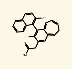 O=C(O)Cc1cc2c(c(-c3c(O)ccc4ccccc34)c1O)=CC=CCC=2